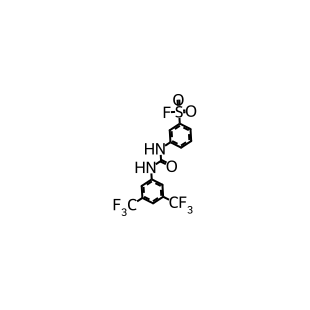 O=C(Nc1cc(C(F)(F)F)cc(C(F)(F)F)c1)Nc1cccc(S(=O)(=O)F)c1